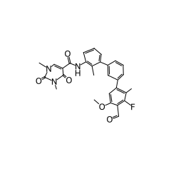 COc1cc(-c2cccc(-c3cccc(NC(=O)c4cn(C)c(=O)n(C)c4=O)c3C)c2)c(C)c(F)c1C=O